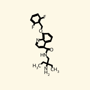 CCC(N)(CC)CNC(=O)c1ccnc2c(OCc3c(F)cccc3F)cccc12